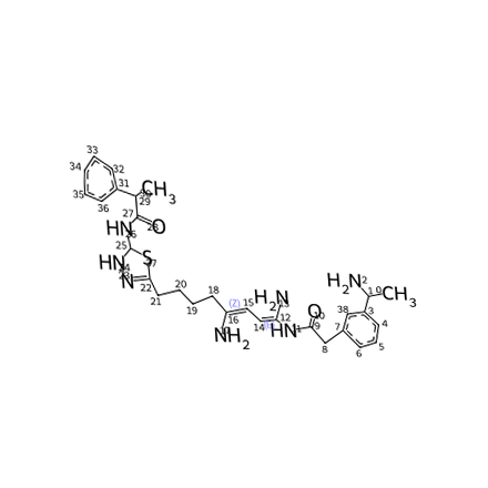 CC(N)c1cccc(CC(=O)N/C(N)=C/C=C(\N)CCCCC2=NNC(NC(=O)C(C)c3ccccc3)S2)c1